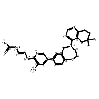 CC1(C)CCc2ncnc(N3CCOc4ccc(-c5cnc(NC=CNC(=O)O)c(N)c5)cc4C3)c2C1